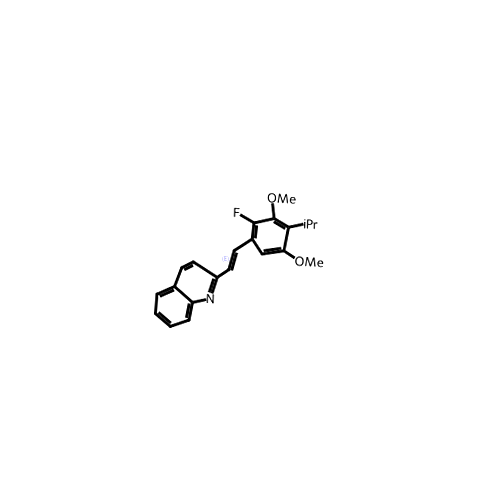 COc1cc(/C=C/c2ccc3ccccc3n2)c(F)c(OC)c1C(C)C